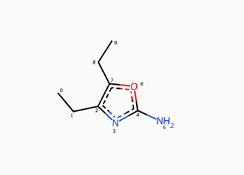 CCc1nc(N)oc1CC